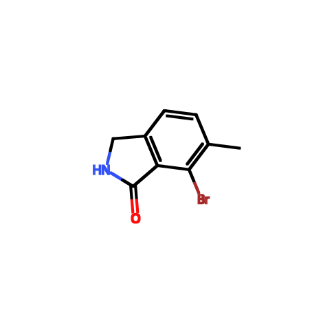 Cc1ccc2c(c1Br)C(=O)NC2